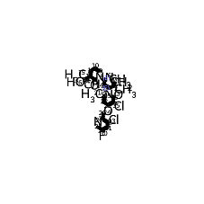 C=C(C)/C(=C\C(=N/C)n1cccc(C(C)(C)O)c1=O)n1c(C)cc(OCc2ncc(F)cc2Cl)c(Cl)c1=O